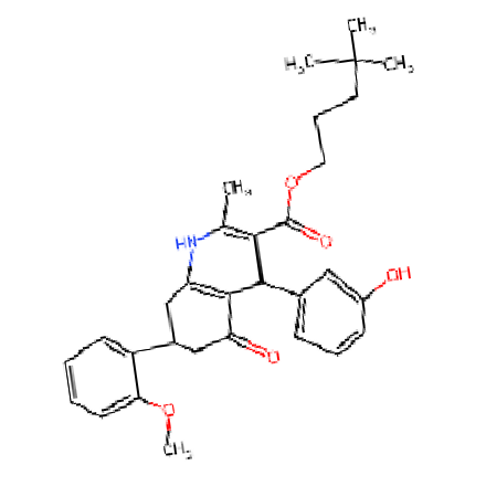 COc1ccccc1C1CC(=O)C2=C(C1)NC(C)=C(C(=O)OCCCC(C)(C)C)C2c1cccc(O)c1